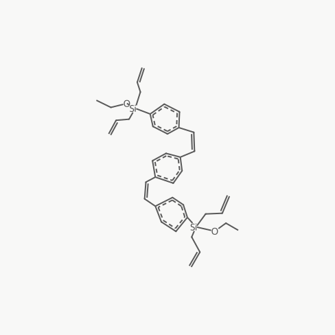 C=CC[Si](CC=C)(OCC)c1ccc(/C=C\c2ccc(/C=C\c3ccc([Si](CC=C)(CC=C)OCC)cc3)cc2)cc1